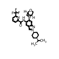 CC(C)[C@H]1CC[C@H](n2cc3cc(NC(=O)c4cccc(C(F)(F)F)n4)c(N4C[C@@H]5C[C@H]4CO5)cc3n2)CC1